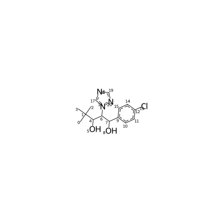 CC(C)(C)C(O)C(C(O)c1ccc(Cl)cc1)n1cncn1